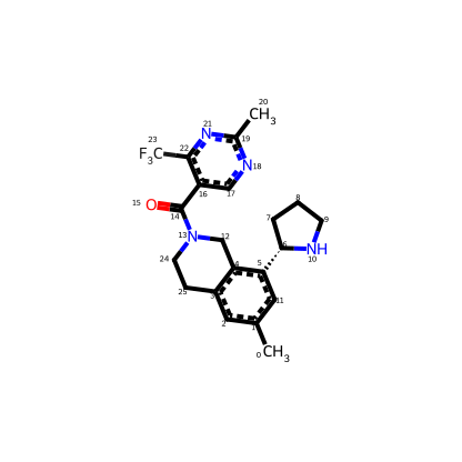 Cc1cc2c(c([C@@H]3CCCN3)c1)CN(C(=O)c1cnc(C)nc1C(F)(F)F)CC2